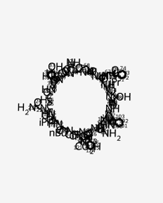 CCCC[C@H]1C(=O)N(C)[C@@H](CCCC)C(=O)N[C@@H](CC(C)C)C(=O)N[C@H](C(=O)NCC(N)=O)CSCC(=O)N[C@@H](Cc2ccc(O)cc2)C(=O)N(C)[C@@H](C)C(=O)N[C@@H](CC(N)=O)C(=O)N2CCC[C@H]2C(=O)N[C@@H](CNCc2cc3ccccc3o2)C(=O)N[C@@H](CC(C)C)C(=O)N2C[C@H](O)C[C@H]2C(=O)N[C@@H](Cc2c[nH]c3ccccc23)C(=O)N[C@@H](CCN)C(=O)N[C@@H](Cc2cn(CC(=O)O)c3ccccc23)C(=O)N1C